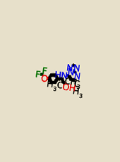 Cc1cc(N[C@@H](c2ccc(OC(F)F)cc2)C(C)(C)O)n2ncnc2n1